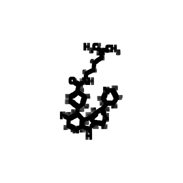 CN(C)CCCCNC(=O)c1ccc(-c2c(F)cnc3[nH]c4cnc(-c5cccnc5)cc4c23)cc1